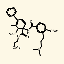 COCCOC(=O)C1(NC(=O)c2ccc(OC)c(CCCN(C)C)c2)C=CC(c2ccccc2)=C(C)C1OC